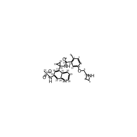 Cc1ccc(OCC2CCN2)cc1C(=O)NC1(c2cc(NS(C)(=O)=O)cc3ncccc23)CC1